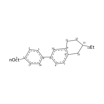 CCCCCCCCc1ccc(-c2ccc3c(c2)CCC(CC)C3)cc1